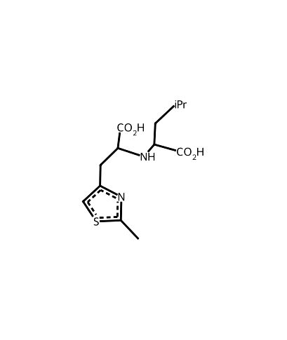 Cc1nc(CC(NC(CC(C)C)C(=O)O)C(=O)O)cs1